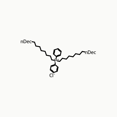 CCCCCCCCCCCCCCCCCC[P+](CCCCCCCCCCCCCCCCCC)(c1ccccc1)c1ccccc1.[Cl-]